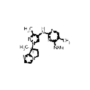 CNc1nc(Nc2cn([C@@]3(C)CCn4ccnc43)nc2C)ncc1C(F)(F)F